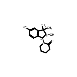 CC1(C)c2cc(C#N)ccc2[C@H](N2CCCCC2=O)[C@H]1O